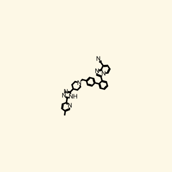 Cc1ccc(-c2nnc(C3CCN(Cc4ccc(-c5ccccc5-c5cnc6c(C#N)cccn56)cc4)CC3)[nH]2)nc1